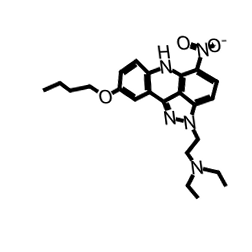 CCCCOc1ccc2c(c1)-c1nn(CCN(CC)CC)c3ccc([N+](=O)[O-])c(c13)N2